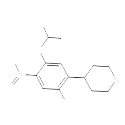 Cc1cc([N+](=O)[O-])c(OC(C)C)cc1C1CCNCC1